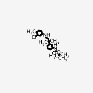 Cc1ccc(NCCC(C)(C)c2cccc(NC(=O)OC(C)(C)C)c2)cc1Cl